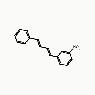 O=[N+]([O-])c1cccc(C=CC=Cc2ccccc2)c1